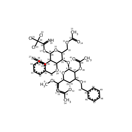 COC(=O)C1O[C@@H](O[C@@H]2C(COC(C)=O)O[C@H](OC(=N)C(Cl)(Cl)Cl)C(N=[N+]=[N-])C2OCc2ccccc2)C(OC(C)=O)C(OCc2ccccc2)[C@@H]1OC(C)=O